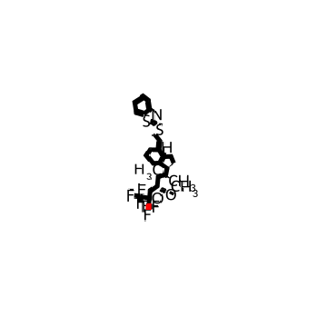 COCOC(CCC[C@@H](C)[C@H]1CC[C@H]2/C(=C/CSc3nc4ccccc4s3)CCC[C@]12C)(C(F)(F)F)C(F)(F)F